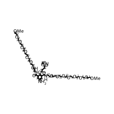 COCCOCCOCCOCCOCCOCCOCCOCCNC(=O)c1cc(N)cc(C(=O)NCCOCCOCCOCCOCCOCCOCCOCCOC)c1OCCCC(=O)OC(C)(C)C